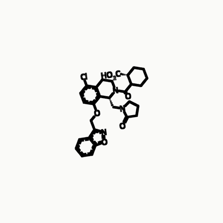 O=C(O)[C@@H]1CCCCC1C(=O)N1CCc2c(Cl)ccc(OCc3noc4ccccc34)c2[C@H]1CN1CCCC1=O